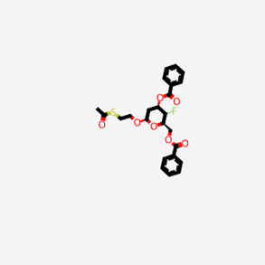 CC(=O)SCCO[C@H]1C[C@@H](OC(=O)c2ccccc2)[C@H](F)[C@@H](COC(=O)c2ccccc2)O1